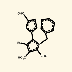 CCc1c(C(=O)O)c(C=O)n(Cc2ccccc2)c1-c1ccc(C=O)o1